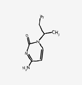 CC(C)CC(C)n1ccc(N)nc1=O